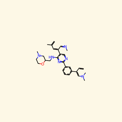 C=C/C(=C\N(C)C)c1cccc(-c2ncc(C(/C=N\C)=C/C(=C)C)c(NCC3CN(C)CCO3)n2)c1